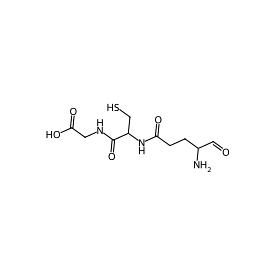 NC(C=O)CCC(=O)NC(CS)C(=O)NCC(=O)O